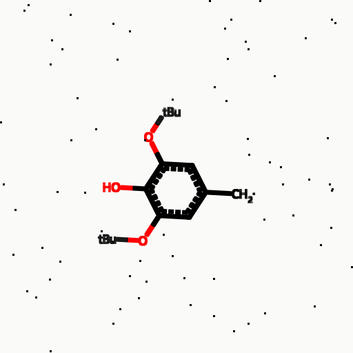 [CH2]c1cc(OC(C)(C)C)c(O)c(OC(C)(C)C)c1